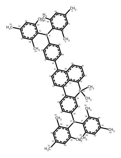 Cc1cc(C)c(B(c2ccc(-c3ccc4c5c(cccc35)[Si](C)(C)c3cc(B(c5c(C)cc(C)cc5C)c5c(C)cc(C)cc5C)ccc3-4)cc2)c2c(C)cc(C)cc2C)c(C)c1